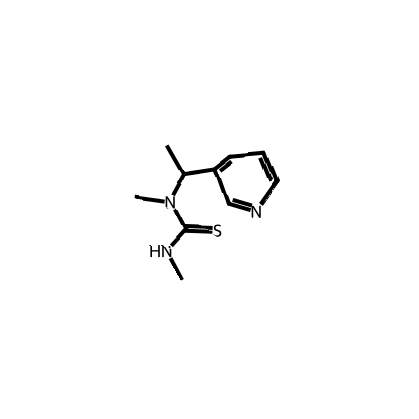 CNC(=S)N(C)C(C)c1cccnc1